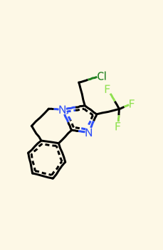 FC(F)(F)c1nc2n(c1CCl)CCc1ccccc1-2